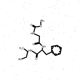 CC(C)CC(C)NC(=O)C(Cc1ccccc1)NC(=O)CNC(=O)OC(C)(C)C